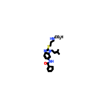 CC(C)=CCn1c(SCCCNC(=O)O)nc2ccc(NC(=O)c3ccccc3)cc21